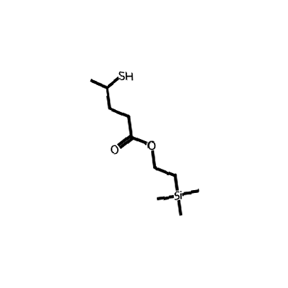 CC(S)CCC(=O)OCC[Si](C)(C)C